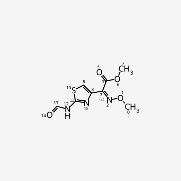 CO/N=C(\C(=O)OC)c1csc(NC=O)n1